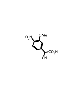 COc1cc(C(C#N)C(=O)O)ccc1[N+](=O)[O-]